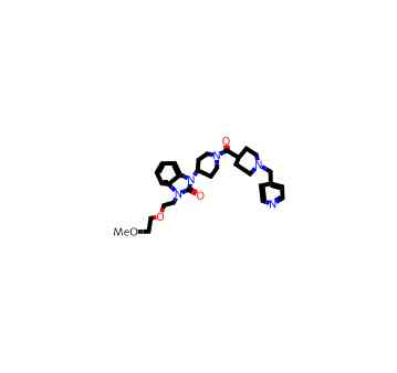 COCCOCCn1c(=O)n(C2CCN(C(=O)C3CCN(Cc4ccncc4)CC3)CC2)c2ccccc21